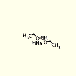 CCOBOCC.[NaH]